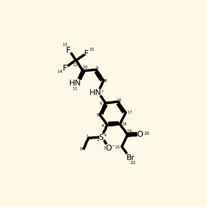 CC[S+]([O-])c1cc(N/C=C\C(=N)C(F)(F)F)ccc1C(=O)CBr